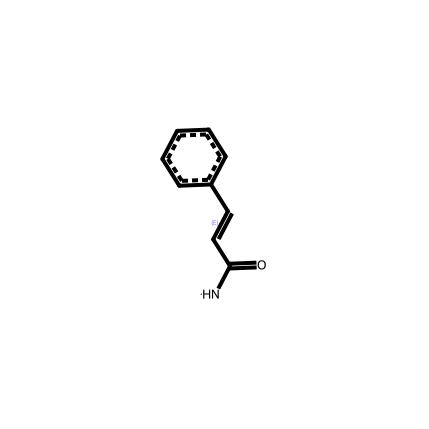 [NH]C(=O)/C=C/c1ccccc1